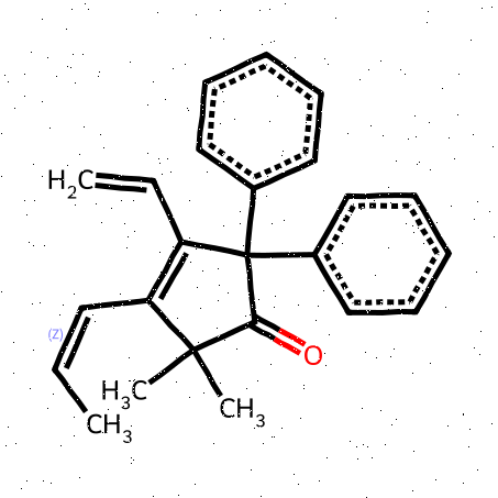 C=CC1=C(/C=C\C)C(C)(C)C(=O)C1(c1ccccc1)c1ccccc1